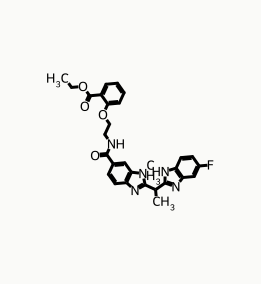 CCOC(=O)c1ccccc1OCCNC(=O)c1ccc2nc(C(C)c3nc4cc(F)ccc4[nH]3)n(C)c2c1